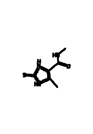 CNC(=O)c1[nH]c(=S)[nH]c1C